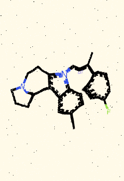 C/C(=C/n1c2c(c3cc(C)ccc31)C1CCCN1CC2)c1ccc(F)cc1